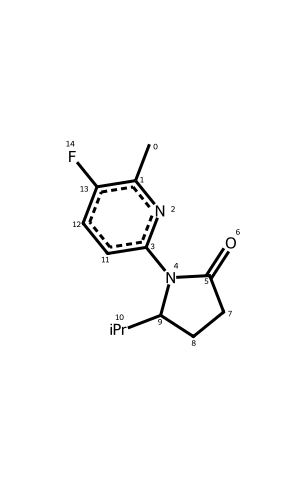 Cc1nc(N2C(=O)CCC2C(C)C)ccc1F